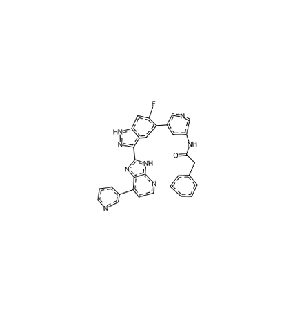 O=C(Cc1ccccc1)Nc1cncc(-c2cc3c(-c4nc5c(-c6cccnc6)ccnc5[nH]4)n[nH]c3cc2F)c1